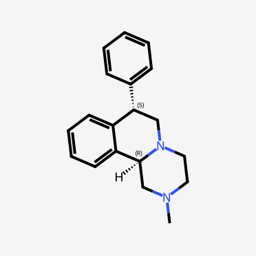 CN1CCN2C[C@@H](c3ccccc3)c3ccccc3[C@@H]2C1